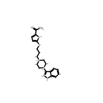 CC(=O)c1ccc(SCCCN2CCN(c3nsc4ccccc34)CC2)s1